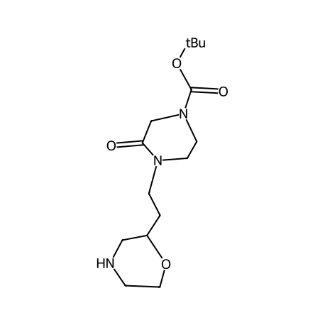 CC(C)(C)OC(=O)N1CCN(CCC2CNCCO2)C(=O)C1